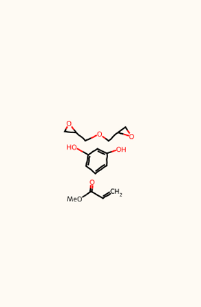 C(OCC1CO1)C1CO1.C=CC(=O)OC.Oc1cccc(O)c1